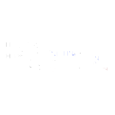 C[C@@H]1[C@@H](NC(=O)c2cc3cc(Br)ncc3[nH]2)C2C[C@@H]1C(C)(C)C2